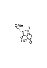 C=C[C@H]1CN(CCCOC)C(=O)c2c(O)c(=O)ccn21